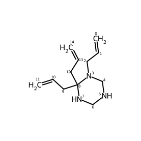 C=CCN1CNCNC1(CC=C)CC=C